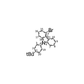 CC(C)(C)c1ccc(-n2c3ccccc3c3c(Br)cccc32)cc1